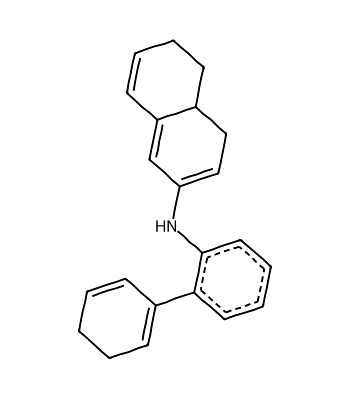 C1=CC(c2ccccc2NC2=CCC3CCC=CC3=C2)=CCC1